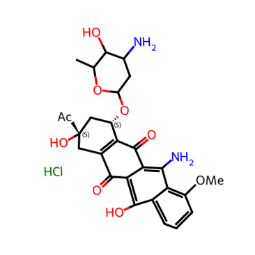 COc1cccc2c(O)c3c(c(N)c12)C(=O)C1=C(C[C@@](O)(C(C)=O)C[C@@H]1OC1CC(N)C(O)C(C)O1)C3=O.Cl